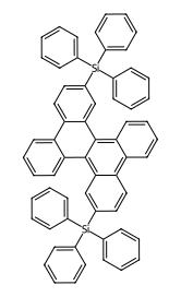 c1ccc([Si](c2ccccc2)(c2ccccc2)c2ccc3c4ccccc4c4c5cc([Si](c6ccccc6)(c6ccccc6)c6ccccc6)ccc5c5ccccc5c4c3c2)cc1